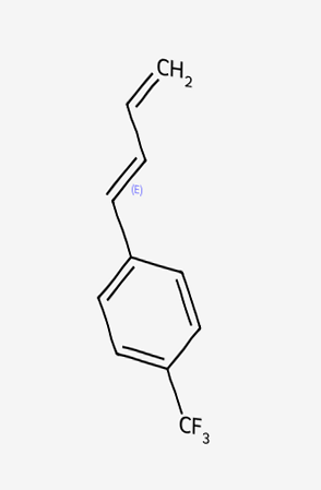 C=C/C=C/c1ccc(C(F)(F)F)cc1